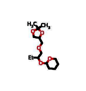 CCC(COCC1COC(C)(C)O1)OC1CCCCO1